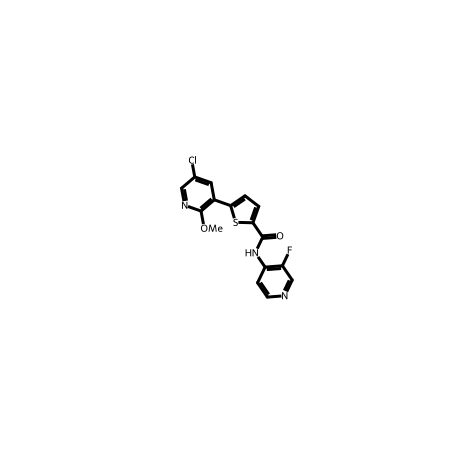 COc1ncc(Cl)cc1-c1ccc(C(=O)Nc2ccncc2F)s1